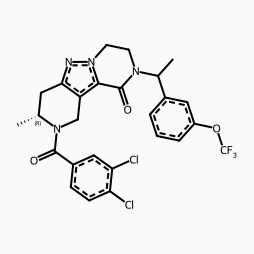 CC(c1cccc(OC(F)(F)F)c1)N1CCn2nc3c(c2C1=O)CN(C(=O)c1ccc(Cl)c(Cl)c1)[C@H](C)C3